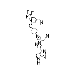 CN(C)Cc1cc(OC2CCC(N3CC(CC#N)(n4cc(-c5ncnc6[nH]ccc56)cn4)C3)CC2)nc(C(F)(F)F)c1